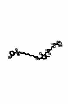 Cc1ccc(NCCCCCCCCCS(=O)(=O)c2cccc(Br)c2)c(=O)n1CC(=O)NCCONC(=N)N